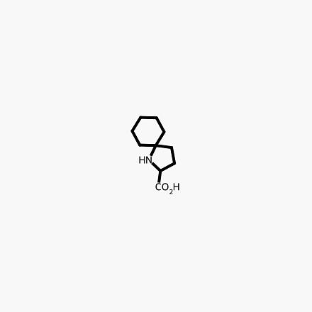 O=C(O)C1CCC2(CCCCC2)N1